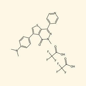 CN(C)c1ccc(-c2csc3c(-c4ccncc4)nn(C)c(=O)c23)cc1.O=C(O)C(F)(F)F.O=C(O)C(F)(F)F